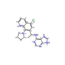 CC(Nc1ncnc2[nH]cnc12)c1cc(Cl)c2cccnc2c1N1CCCC1